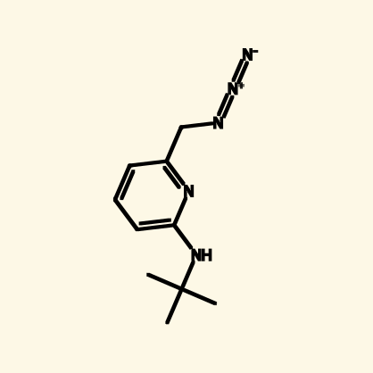 CC(C)(C)Nc1cccc(CN=[N+]=[N-])n1